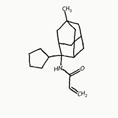 C=CC(=O)NC1(C2CCCC2)C2CC3CC1CC(C)(C3)C2